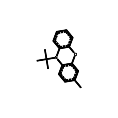 Cc1ccc2c(c1)Oc1ccccc1N2C(C)(C)C